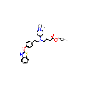 CCOC(=O)CCCN(CCc1ccc(Oc2nc3ccccc3s2)cc1)C1CCN(C)CC1